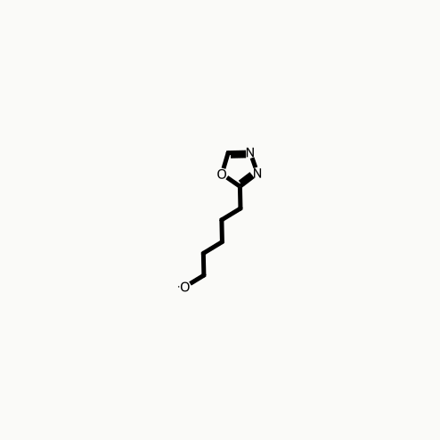 [O]CCCCCc1nnco1